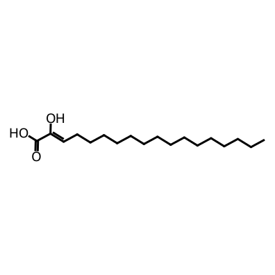 CCCCCCCCCCCCCCCC=C(O)C(=O)O